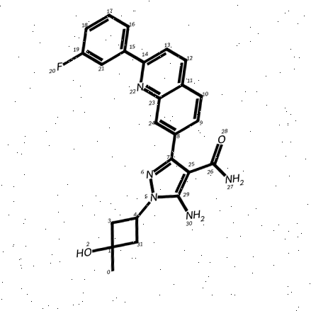 CC1(O)CC(n2nc(-c3ccc4ccc(-c5cccc(F)c5)nc4c3)c(C(N)=O)c2N)C1